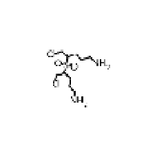 NCCCC(CCl)S(=O)(=O)C(CCl)CCCN